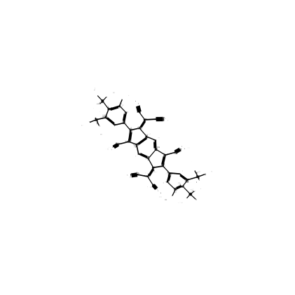 N#CC(C#N)=C1C(c2cc(F)c(C(F)(F)F)c(C(F)(F)F)c2)=C(C#N)c2cc3c(cc21)C(C#N)=C(c1cc(F)c(C(F)(F)F)c(C(F)(F)F)c1)C3=C(C#N)C#N